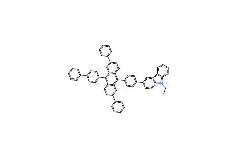 CCn1c2ccccc2c2cc(-c3ccc(-c4c5ccc(-c6ccccc6)cc5c(-c5ccc(-c6ccccc6)cc5)c5ccc(-c6ccccc6)cc45)cc3)ccc21